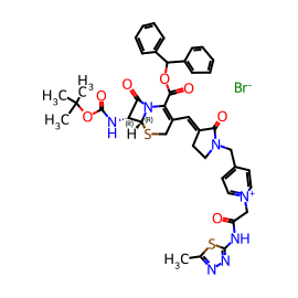 Cc1nnc(NC(=O)C[n+]2ccc(CN3CCC(=CC4=C(C(=O)OC(c5ccccc5)c5ccccc5)N5C(=O)[C@@H](NC(=O)OC(C)(C)C)[C@H]5SC4)C3=O)cc2)s1.[Br-]